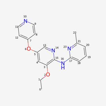 CCOc1cc(Oc2ccncc2)cnc1Nc1cccc(C)n1